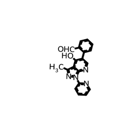 Cc1nn(-c2ccccn2)c2ncc(-c3ccccc3C=O)c(O)c12